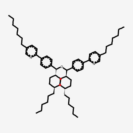 CCCCCCCc1ccc(-c2ccc(C(OC(c3ccc(-c4ccc(CCCCCCC)cn4)cc3)[C@H]3CC[C@H](CCCCCC)CC3)[C@H]3CC[C@H](CCCCCC)CC3)cc2)nc1